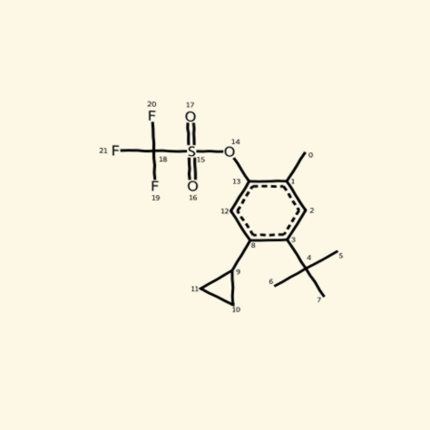 Cc1cc(C(C)(C)C)c(C2CC2)cc1OS(=O)(=O)C(F)(F)F